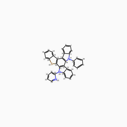 c1ccc(-n2c3ccccc3c3c4c5ccccc5sc4c4c(c5ccccc5n4-c4ccccn4)c32)cc1